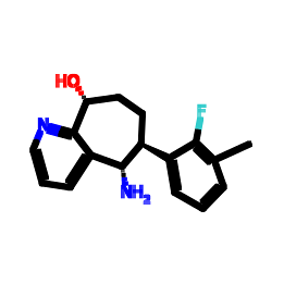 Cc1cccc([C@@H]2CC[C@@H](O)c3ncccc3[C@H]2N)c1F